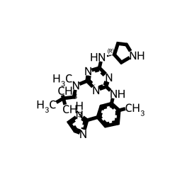 Cc1ccc(-c2ncc[nH]2)cc1Nc1nc(N[C@@H]2CCNC2)nc(N(C)CC(C)(C)C)n1